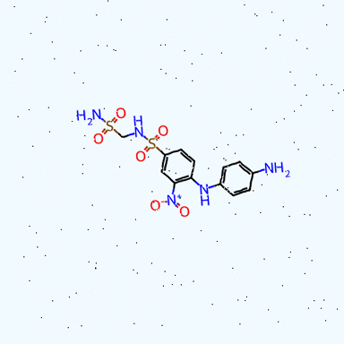 Nc1ccc(Nc2ccc(S(=O)(=O)NCS(N)(=O)=O)cc2[N+](=O)[O-])cc1